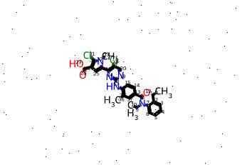 CCc1ccccc1N(CC)C(=O)c1ccc(Nc2ncc(Cl)c(-c3cc(C(=O)O)c(Cl)n3C)n2)c(C)c1